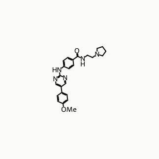 COc1ccc(-c2cnc(Nc3ccc(C(=O)NCCN4CCCC4)cc3)nc2)cc1